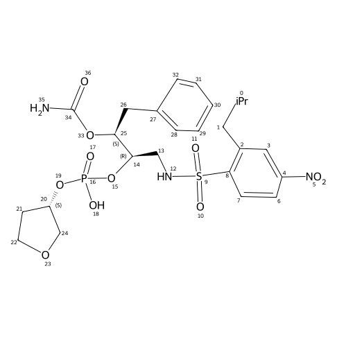 CC(C)Cc1cc([N+](=O)[O-])ccc1S(=O)(=O)NC[C@@H](OP(=O)(O)O[C@H]1CCOC1)[C@H](Cc1ccccc1)OC(N)=O